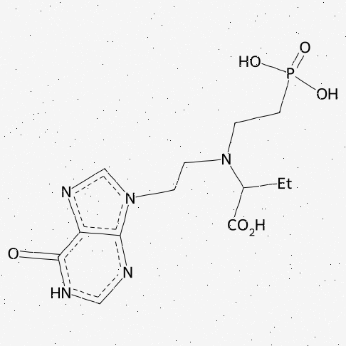 CCC(C(=O)O)N(CCn1cnc2c(=O)[nH]cnc21)CCP(=O)(O)O